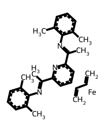 C=CC=C.CC(=Nc1c(C)cccc1C)c1cccc(C(C)=Nc2c(C)cccc2C)n1.[Fe]